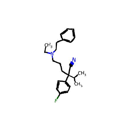 CCN(CCCC(C#N)(c1ccc(F)cc1)C(C)C)CCc1ccccc1